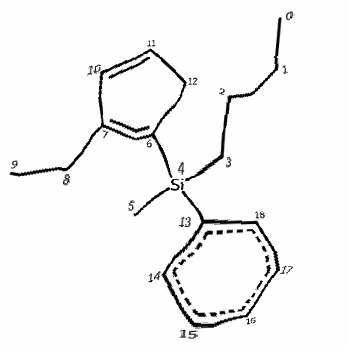 CCCC[Si](C)(C1=C(CC)C=CC1)c1ccccc1